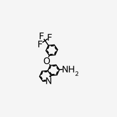 Nc1cc(Oc2cccc(C(F)(F)F)c2)c2cccnc2c1